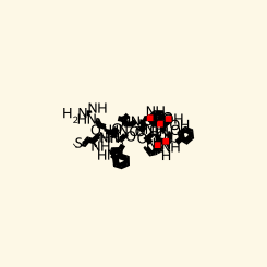 CSCC[C@H](N)C(=O)N[C@@H](CCCNC(=N)N)C(=O)N[C@@H](Cc1c[nH]c2ccccc12)C(=O)N[C@H](C(=O)N[C@@H](Cc1ccc(O)cc1)C(=O)N[C@@H](Cc1c[nH]cn1)C(=O)N1CCC[C@H]1C(=O)N[C@@H](Cc1ccccc1)C(=O)N[C@@H](CCC(N)=O)C(=O)O)C(C)C